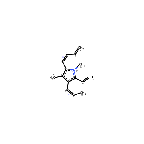 C=C/C=C\c1c(C)c(/C=C\C)c(C=C)n1C